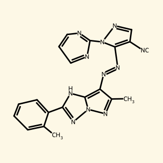 [C-]#[N+]c1cnn(-c2ncccn2)c1/N=N/c1c(C)nn2nc(-c3ccccc3C)[nH]c12